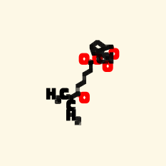 C=C(C)C(=O)CCCCC(=O)OC1C2CC3C1OC(=O)C3(C#N)C2